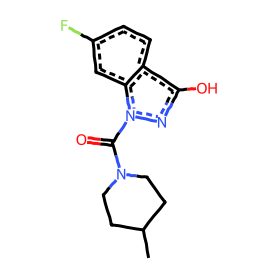 CC1CCN(C(=O)n2nc(O)c3ccc(F)cc32)CC1